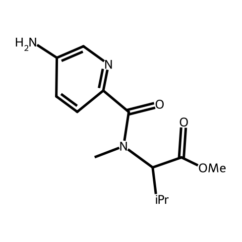 COC(=O)C(C(C)C)N(C)C(=O)c1ccc(N)cn1